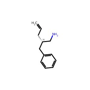 C=CC[C@H](CN)Cc1ccccc1